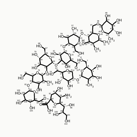 CC1C(O)[C@H](O)[C@H](CO)O[C@H]1O[C@@H]1C(O)[C@H](O)C(CO)O[C@@H]1OCC1O[C@@H](O[C@@H]2C(CO)O[C@@H](O[C@@H]3C(CO[C@@H]4O[C@@H](C)[C@@H](O)C(O)C4O)O[C@@H](C)[C@@H](C)C3O)[C@@H](C)C2O)[C@H](O)C(O[C@H]2O[C@H](CO)[C@@H](O)C(O)C2O[C@@H]2OC(CO)[C@@H](O[C@@H]3OC(CO[C@]4(C(=O)O)C[C@@H](O)[C@@H](N)C([C@H](O)[C@H](O)CO)O4)[C@H](O)C(O)[C@@H]3O)C(O)[C@@H]2C)[C@@H]1O